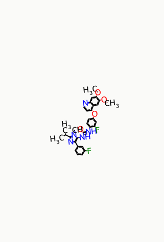 COc1cc2nccc(Oc3ccc(NC(=O)Nc4c(-c5cccc(F)c5)nc(C(C)C)n4C)c(F)c3)c2cc1OC